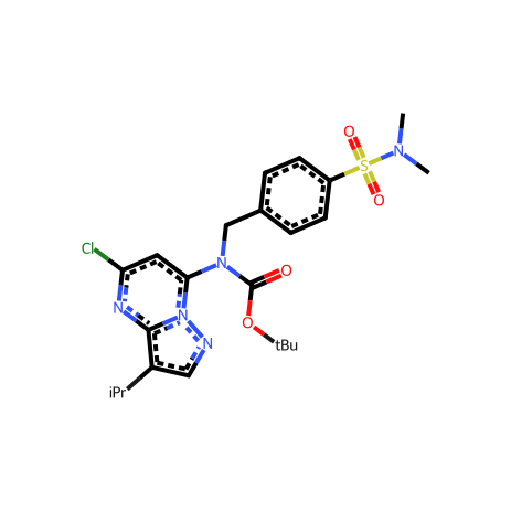 CC(C)c1cnn2c(N(Cc3ccc(S(=O)(=O)N(C)C)cc3)C(=O)OC(C)(C)C)cc(Cl)nc12